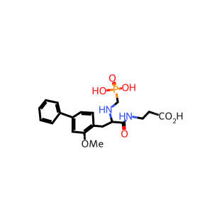 COc1cc(-c2ccccc2)ccc1CC(NCP(=O)(O)O)C(=O)NCCC(=O)O